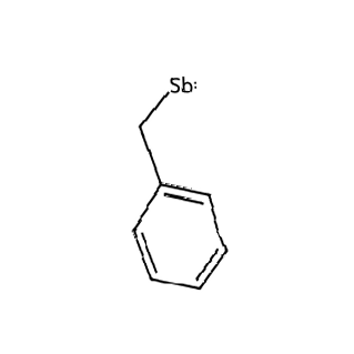 [Sb][CH2]c1ccccc1